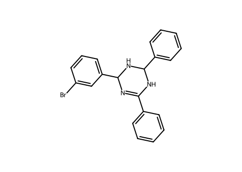 Brc1cccc(C2N=C(c3ccccc3)NC(c3ccccc3)N2)c1